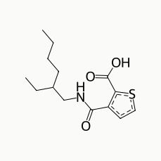 CCCCC(CC)CNC(=O)c1ccsc1C(=O)O